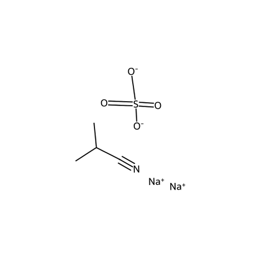 CC(C)C#N.O=S(=O)([O-])[O-].[Na+].[Na+]